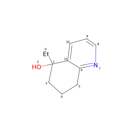 CCC1(O)CCCc2ncccc21